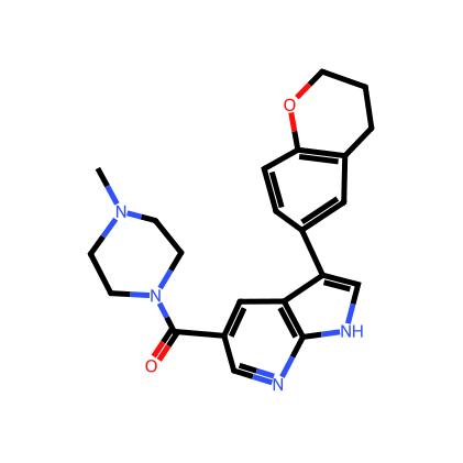 CN1CCN(C(=O)c2cnc3[nH]cc(-c4ccc5c(c4)CCCO5)c3c2)CC1